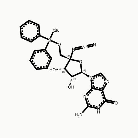 CC(C)(C)[Si](OC[C@@]1(N=[N+]=[N-])O[C@@H](n2cnc3c(=O)[nH]c(N)nc32)[C@H](O)[C@@H]1O)(c1ccccc1)c1ccccc1